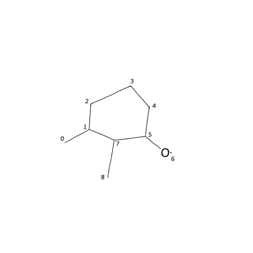 CC1CCCC([O])C1C